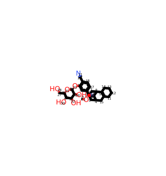 CO/C(=C1\C2CCCC1C1=C(CCCC1)C2)c1ccc(C#N)c(O[C@@H]2OC(CO)[C@@H](O)C(O)C2O)c1